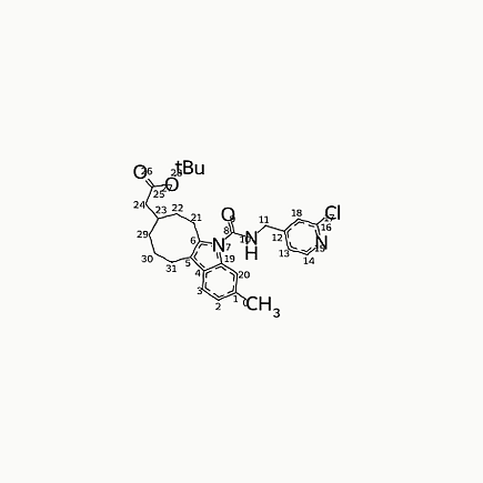 Cc1ccc2c3c(n(C(=O)NCc4ccnc(Cl)c4)c2c1)CCC(CC(=O)OC(C)(C)C)CCC3